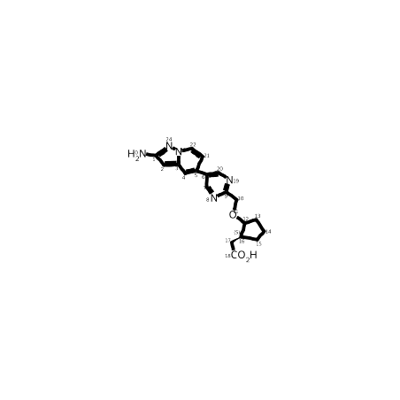 Nc1cc2cc(-c3cnc(COC4CCC[C@H]4CC(=O)O)nc3)ccn2n1